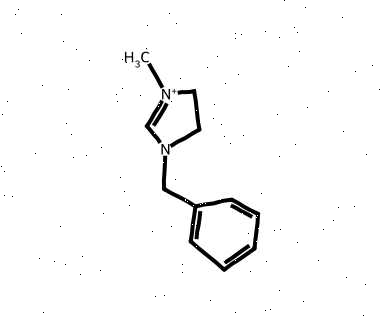 C[N+]1=CN(Cc2ccccc2)CC1